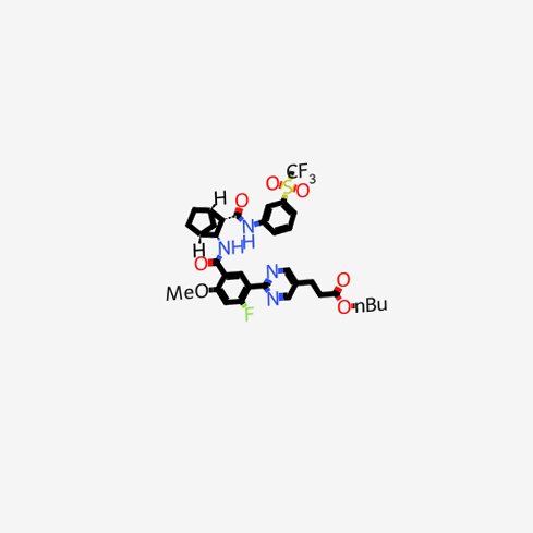 CCCCOC(=O)CCc1cnc(-c2cc(C(=O)N[C@@H]3[C@H]4CC[C@H](C4)[C@@H]3C(=O)Nc3cccc(S(=O)(=O)C(F)(F)F)c3)c(OC)cc2F)nc1